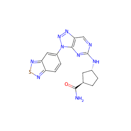 NC(=O)[C@@H]1CC[C@@H](Nc2ncc3nnn(-c4ccc5nsnc5c4)c3n2)C1